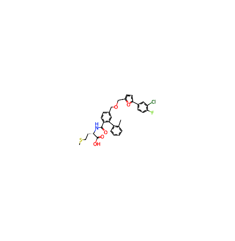 CSCC[C@H](NC(=O)c1ccc(COCc2ccc(-c3ccc(F)c(Cl)c3)o2)cc1-c1ccccc1C)C(=O)O